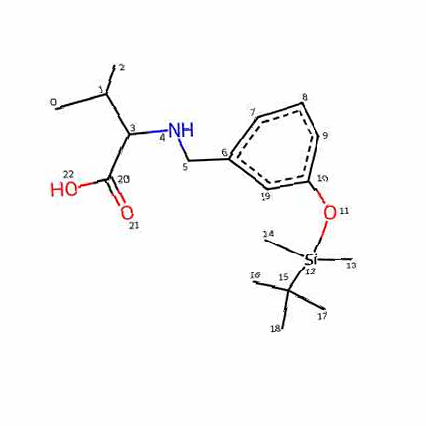 CC(C)C(NCc1cccc(O[Si](C)(C)C(C)(C)C)c1)C(=O)O